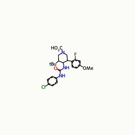 COc1ccc(C2CN(C(=O)O)CC(C(C)(C)C)C2NC(=O)Nc2ccc(Cl)cc2)c(F)c1